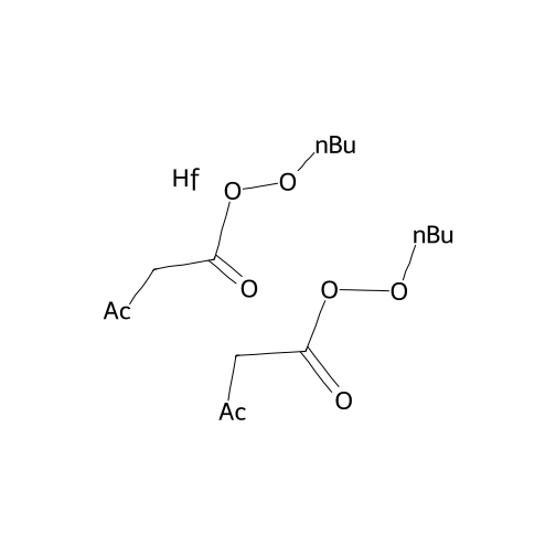 CCCCOOC(=O)CC(C)=O.CCCCOOC(=O)CC(C)=O.[Hf]